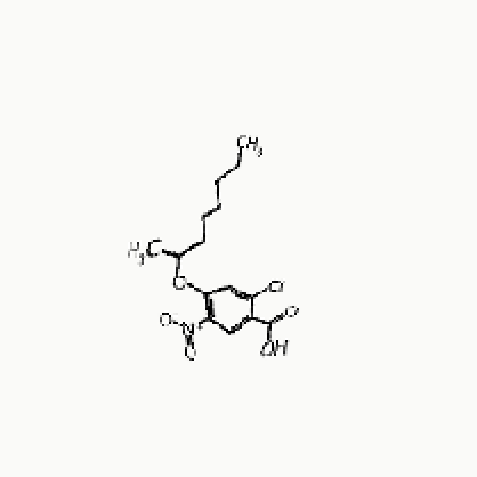 CCCCCCC(C)Oc1cc(Cl)c(C(=O)O)cc1[N+](=O)[O-]